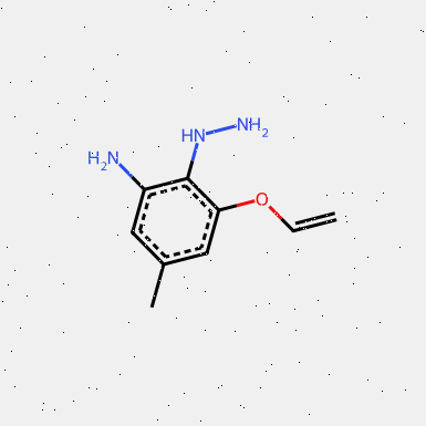 C=COc1cc(C)cc(N)c1NN